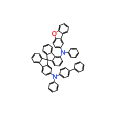 c1ccc(-c2ccc(N(c3ccccc3)c3ccc4c(c3)C3(c5ccccc5-4)c4ccccc4-c4c(N(c5ccccc5)c5ccc6oc7ccccc7c6c5)cccc43)cc2)cc1